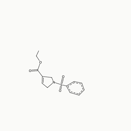 CCOC(=O)C1=CCN(S(=O)(=O)c2ccccc2)C1